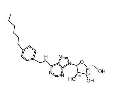 CCCCCCc1ccc(CNc2ncnc3c2ncn3C2O[C@H](CO)[C@@H](O)[C@H]2O)cc1